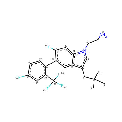 CC(C)(C)Cc1cn(CCN)c2cc(F)c(-c3ccc(F)cc3C(F)(F)F)cc12